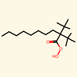 CCCCCCCCC(C(=O)OO)(C(C)(C)C)C(C)(C)C